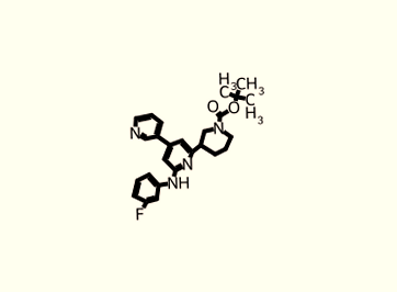 CC(C)(C)OC(=O)N1CCCC(c2cc(-c3cccnc3)cc(Nc3cccc(F)c3)n2)C1